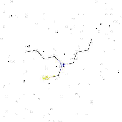 CCCCN(CS)CCCC